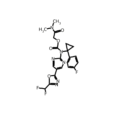 CN(C)C(=O)COC(=O)N(c1ncc(-c2nnc(C(F)F)o2)cn1)C1(c2ccc(F)cc2)CC1